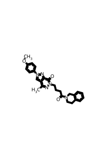 COc1ccc(-n2cc3c(C)nn(CCCC(=O)N4CCc5ccccc5C4)c(=O)c3n2)cc1